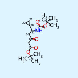 CC(C)(C)OC(=O)CC(=O)CC(NC(=O)OC(C)(C)C)C1CC1